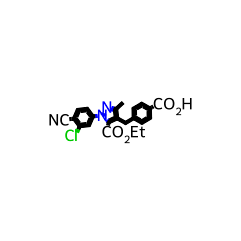 CCOC(=O)c1c(Cc2ccc(C(=O)O)cc2)c(C)nn1-c1ccc(C#N)c(Cl)c1